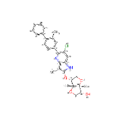 Cc1cc(-c2nc3c(C#N)c(O[C@@H]4CO[C@H]5[C@@H]4OC[C@H]5O)[nH]c3cc2Cl)ccc1-c1ccccc1